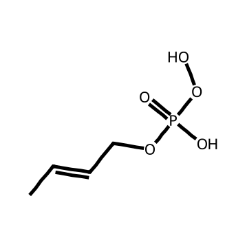 CC=CCOP(=O)(O)OO